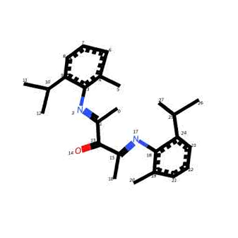 CC(=Nc1c(C)cccc1C(C)C)C(=O)C(C)=Nc1c(C)cccc1C(C)C